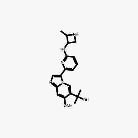 COc1cc2ncc(-c3cccc(NC4CNC4C)n3)n2cc1C(C)(C)O